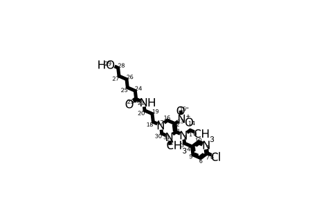 CCN(Cc1ccc(Cl)nc1)C1=C([N+](=O)[O-])CN(CCCNC(=O)CCCCCO)CN1C